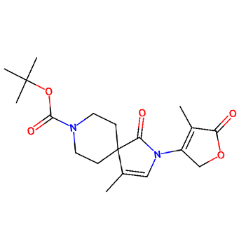 CC1=CN(C2=C(C)C(=O)OC2)C(=O)C12CCN(C(=O)OC(C)(C)C)CC2